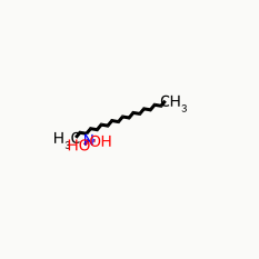 CCCCCCCCCCCCCCCC(CC)N(O)O